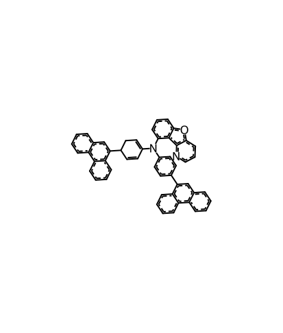 C1=CC(c2cc3ccccc3c3ccccc23)CC=C1N(c1ccc(-c2cc3ccccc3c3ccccc23)cc1)c1cccc2oc3cccnc3c12